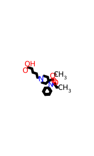 CCC(=O)N(c1ccccc1)C1(C(=O)OC)CCN(CCCCC(=O)O)CC1